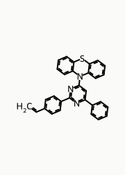 C=Cc1ccc(-c2nc(-c3ccccc3)cc(N3c4ccccc4Sc4ccccc43)n2)cc1